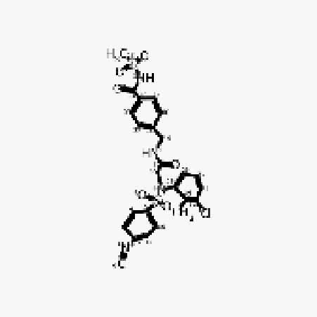 [C-]#[N+]c1ccc(S(=O)(=O)N(CC(=O)NCc2ccc(C(=O)NS(C)(=O)=O)cc2)c2cccc(Cl)c2C)cc1